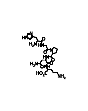 NCCC[C@H](NC(=O)[C@H](CC(N)=O)NC(=O)[C@@H]1CCCN1C(=O)CNC(=O)[C@@H](N)Cc1c[nH]cn1)C(=O)O